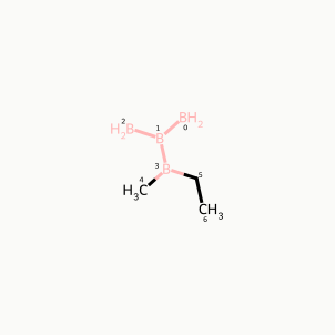 BB(B)B(C)CC